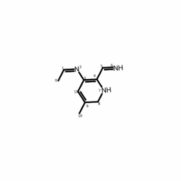 C/C=N\C1=C(C=N)NCC(C)=C1